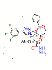 CO[C@@H]1[C@@H](n2cc(-c3cc(F)c(F)c(F)c3)nn2)[C@H]2O[C@@H](c3ccccc3)OCC[C@H]2O[C@H]1C(=O)NN